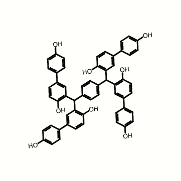 Oc1ccc(-c2ccc(O)c(C(c3ccc(C(c4cc(-c5ccc(O)cc5)ccc4O)c4cc(-c5ccc(O)cc5)ccc4O)cc3)c3cc(-c4ccc(O)cc4)ccc3O)c2)cc1